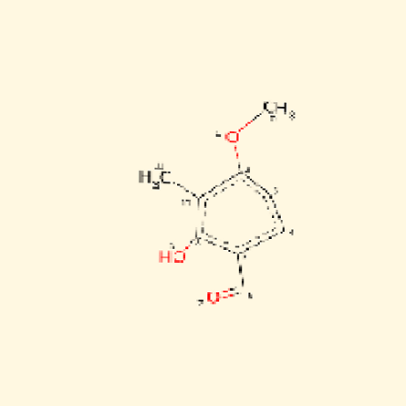 COc1ccc(C=O)c(O)c1C